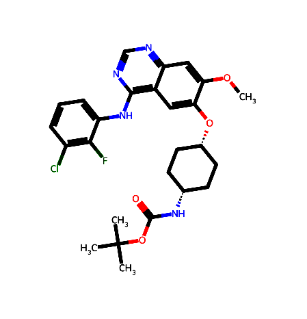 COc1cc2ncnc(Nc3cccc(Cl)c3F)c2cc1O[C@H]1CC[C@@H](NC(=O)OC(C)(C)C)CC1